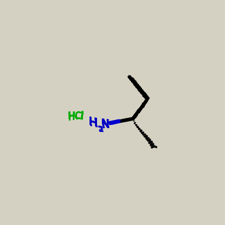 Cl.[CH2][C@H](N)CC